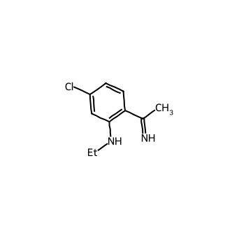 CCNc1cc(Cl)ccc1C(C)=N